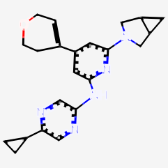 C1=C(c2cc(Nc3cnc(C4CC4)cn3)nc(N3CC4CC4C3)c2)CCOC1